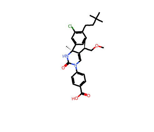 COC[C@H](C)C1=CN(c2ccc(C(=O)O)cc2)C(=O)N[C@@]1(C)c1ccc(CCC(C)(C)C)c(Cl)c1